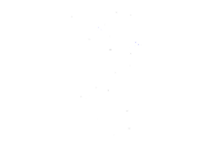 Cc1cnc(CCCc2cccc3ccccc23)cc1N1CCCCC1